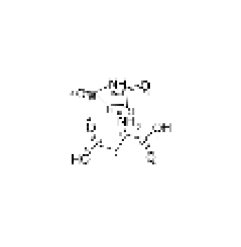 NC(CC(=O)O)C(=O)O.O=C1C=CC(=O)N1